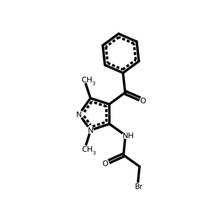 Cc1nn(C)c(NC(=O)CBr)c1C(=O)c1ccccc1